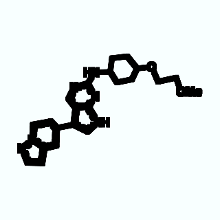 COCCOC1CCC(Nc2ncc3c(-c4ccn5nccc5c4)c[nH]c3n2)CC1